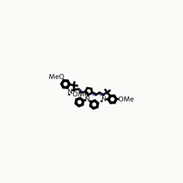 COc1ccc2c(c1)C(C)(C)/C(=C/C=C1\CCC(/C=C/C3(OC)N(C)c4ccc(OC)cc4C3(C)C)=C1N(c1ccccc1)c1ccccc1)N2C